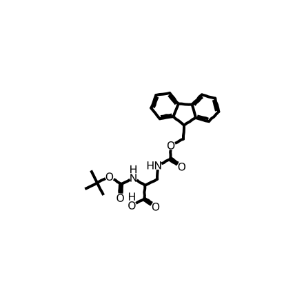 CC(C)(C)OC(=O)NC(CNC(=O)OCC1c2ccccc2-c2ccccc21)C(=O)O